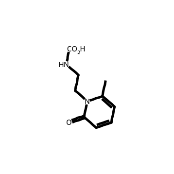 Cc1cccc(=O)n1CCNC(=O)O